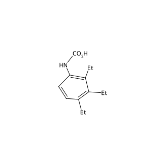 CCc1ccc(NC(=O)O)c(CC)c1CC